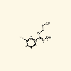 ON=C(SCCCl)c1cccc(F)c1